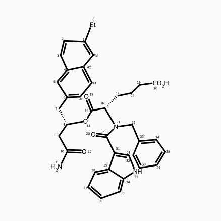 CCc1ccc2cc(C[C@@H](CC(N)=O)OC(=O)[C@H](CCCC(=O)O)N(Cc3ccccc3)C(=O)c3c[nH]c4ccccc34)ccc2c1